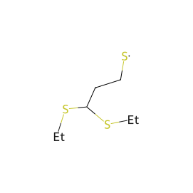 CCSC(CC[S])SCC